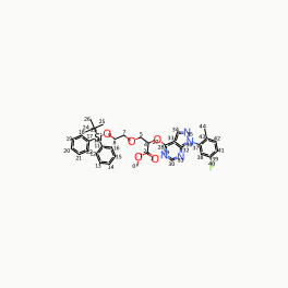 COC(=O)C(COCCO[Si](c1ccccc1)(c1ccccc1)C(C)(C)C)Oc1ncnc2c1cnn2-c1cc(F)ccc1C